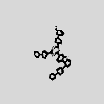 N#Cc1cccc(-c2ccc(-c3nc(-c4ccc(-c5ccccc5)cc4)nc(-c4ccc5c(c4)oc4cccc(-c6ccc(-c7ccccc7)cc6)c45)n3)cc2)c1